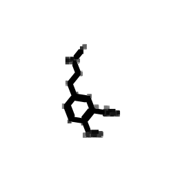 COc1ccc(CCNI)cc1OC